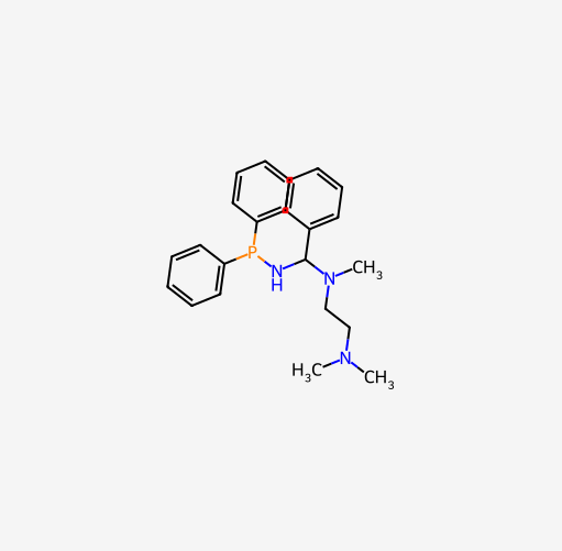 CN(C)CCN(C)C(NP(c1ccccc1)c1ccccc1)c1ccccc1